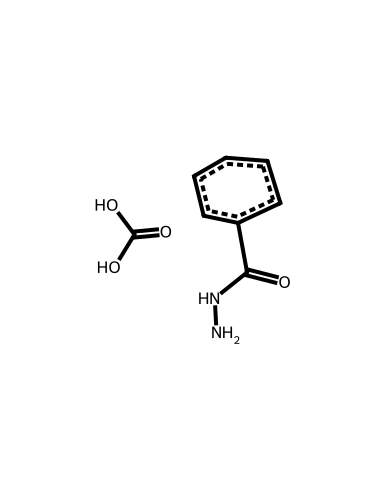 NNC(=O)c1ccccc1.O=C(O)O